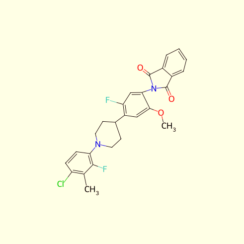 COc1cc(C2CCN(c3ccc(Cl)c(C)c3F)CC2)c(F)cc1N1C(=O)c2ccccc2C1=O